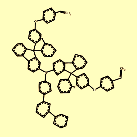 C=Cc1ccc(Oc2ccc(C3(c4ccccc4F)c4ccccc4-c4ccc(N(c5ccc(-c6cccc(-c7ccccc7)c6)cc5)c5ccc6c(c5)C(c5ccc(Oc7ccc(C=C)cc7)cc5)(c5ccccc5F)c5ccccc5-6)cc43)cc2)cc1